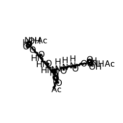 CC(=O)CCCC(=O)N1CCN(c2nc(NCCC(=O)NCCCNC(=O)CCCCOC[C@@]34CO[C@H](O3)[C@H](NC(C)=O)[C@@H](O)C4)nc(NCCC(=O)NCCCNC(=O)CCCCOC[C@@]34CO[C@H](O3)[C@H](NC(C)=O)[C@@H](O)C4)n2)CC1